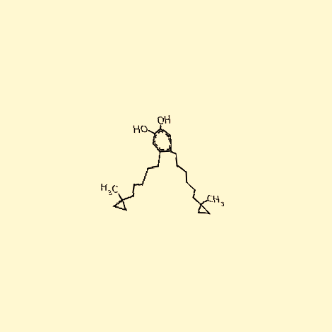 CC1(CCCCCCc2cc(O)c(O)cc2CCCCCC2(C)CC2)CC1